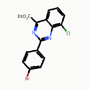 CCOC(=O)c1nc(-c2ccc(Br)cc2)nc2c(Cl)cccc12